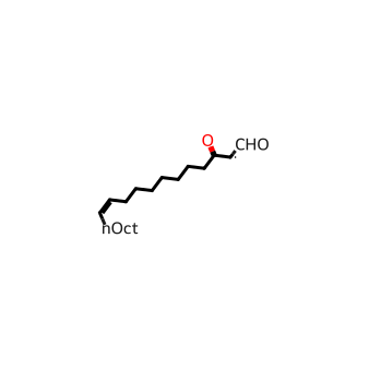 CCCCCCCC/C=C\CCCCCCCC(=O)[CH]C=O